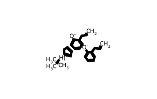 C=CCc1ccccc1[O-].C=CCc1ccccc1[O-].C[C](C)(C)[Hf+2][C]1=CC=CC1